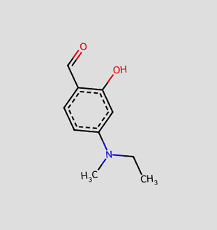 CCN(C)c1ccc(C=O)c(O)c1